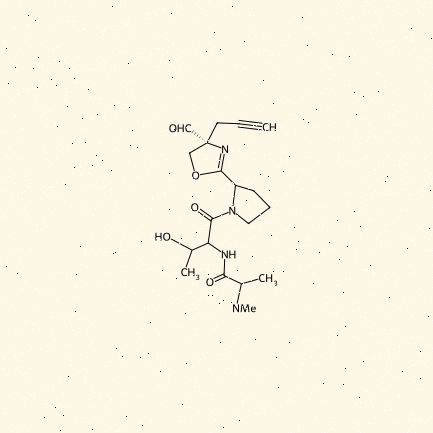 C#CC[C@]1(C=O)COC(C2CCCN2C(=O)C(NC(=O)C(C)NC)C(C)O)=N1